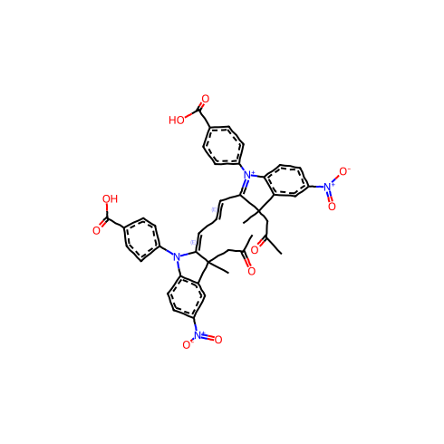 CC(=O)CC1(C)C(/C=C/C=C2/N(c3ccc(C(=O)O)cc3)c3ccc([N+](=O)[O-])cc3C2(C)CC(C)=O)=[N+](c2ccc(C(=O)O)cc2)c2ccc([N+](=O)[O-])cc21